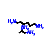 C[C@@H](N)CN.NCCCCCCN